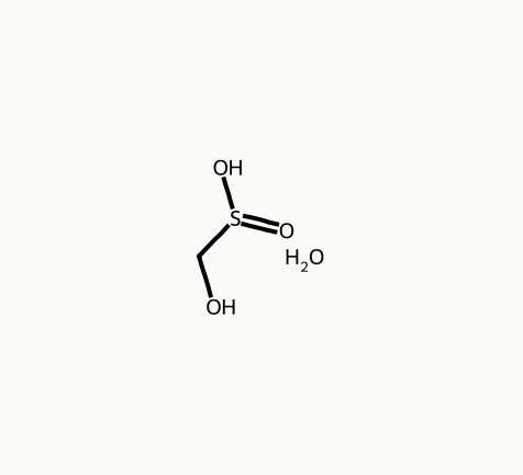 O.O=S(O)CO